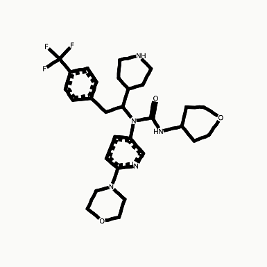 O=C(NC1CCOCC1)N(c1ccc(N2CCOCC2)nc1)C(Cc1ccc(C(F)(F)F)cc1)C1CCNCC1